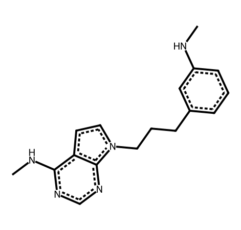 CNc1cccc(CCCn2ccc3c(NC)ncnc32)c1